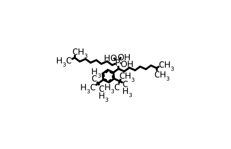 CC(C)CCCCCCCP(O)(O)(O)C(CCCCCCC(C)C)c1ccc(C(C)(C)C)cc1C(C)(C)C